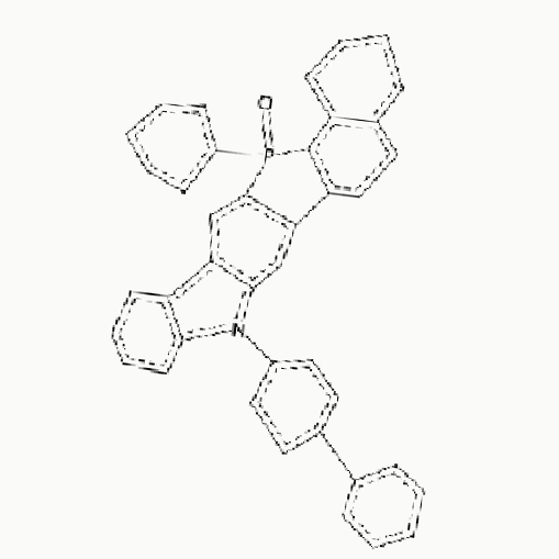 O=P1(c2ccccc2)c2cc3c4ccccc4n(-c4ccc(-c5ccccc5)cc4)c3cc2-c2ccc3ccccc3c21